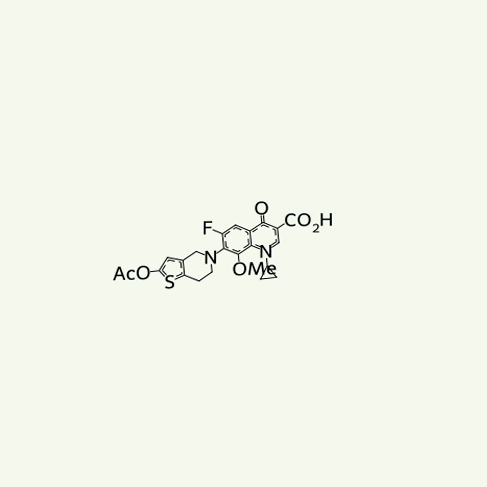 COc1c(N2CCc3sc(OC(C)=O)cc3C2)c(F)cc2c(=O)c(C(=O)O)cn(C3CC3)c12